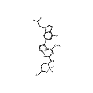 COc1nc(N[C@@H]2CCN(C(C)=O)CC2(F)F)nn2ccc(-c3cc(F)c4ncn(CC(F)F)c4c3)c12